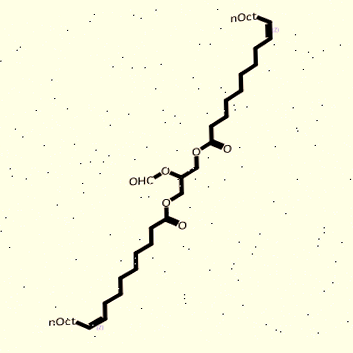 CCCCCCCC/C=C\CCCCCCCC(=O)OCC(COC(=O)CCCCCCC/C=C\CCCCCCCC)OC=O